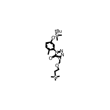 Cc1ccc(O[Si](C)(C)C(C)(C)C)cc1-n1nnn(COCC[Si](C)(C)C)c1=O